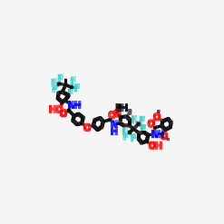 BOc1ccc(C(c2ccc(O)c(NC(=O)c3c(OC)cccc3OC)c2)(C(F)(F)F)C(F)(F)F)cc1NC(=O)c1ccc(Oc2ccc(C(=O)Nc3cc(C(C)(C(F)(F)F)C(F)(F)F)ccc3O)cc2)cc1